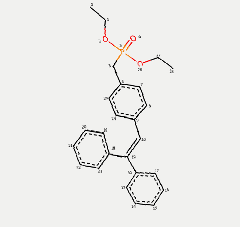 CCOP(=O)(Cc1ccc(C=C(c2ccccc2)c2ccccc2)cc1)OCC